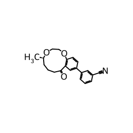 C[C@@H]1CCCC(=O)c2cc(-c3cccc(C#N)c3)ccc2OCCO1